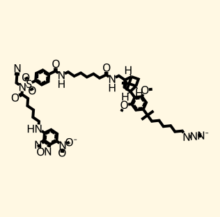 COc1cc(C(C)(C)CCCCCCN=[N+]=[N-])cc(OC)c1[C@H]1C=C(CNC(=O)CCCCCCNC(=O)c2ccc(S(=O)(=O)N(CC#N)C(=O)CCCCCNc3ccc([N+](=O)[O-])c4nonc34)cc2)[C@H]2C[C@@H]1C2(C)C